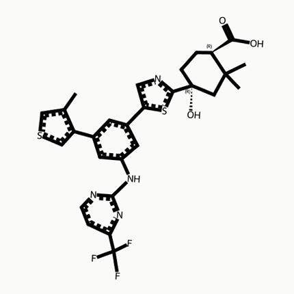 Cc1cscc1-c1cc(Nc2nccc(C(F)(F)F)n2)cc(-c2cnc([C@@]3(O)CC[C@@H](C(=O)O)C(C)(C)C3)s2)c1